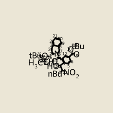 CCCCC(C(O)c1ccc(C(=O)OC(C)(C)C)cc1C(=O)N1Cc2ccccc2C[C@H]1CO[Si](C)(C)C(C)(C)C)[N+](=O)[O-]